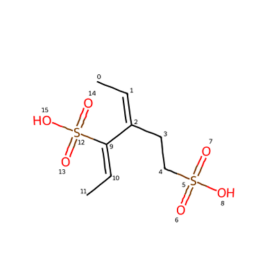 CC=C(CCS(=O)(=O)O)C(=CC)S(=O)(=O)O